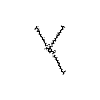 CC(C)CCCCCCCCCCCCOC(=O)c1ccc(C(=O)OCCCCCCCCCCCCC(C)C)c(C(=O)OCCCCCCCCCCCCC(C)C)c1